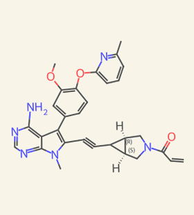 C=CC(=O)N1C[C@@H]2C(C#Cc3c(-c4ccc(Oc5cccc(C)n5)c(OC)c4)c4c(N)ncnc4n3C)[C@@H]2C1